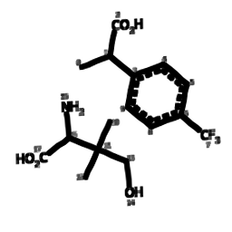 CC(C(=O)O)c1ccc(C(F)(F)F)cc1.CC(C)(CO)C(N)C(=O)O